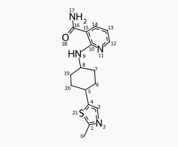 Cc1ncc(C2CCC(Nc3ncccc3C(N)=O)CC2)s1